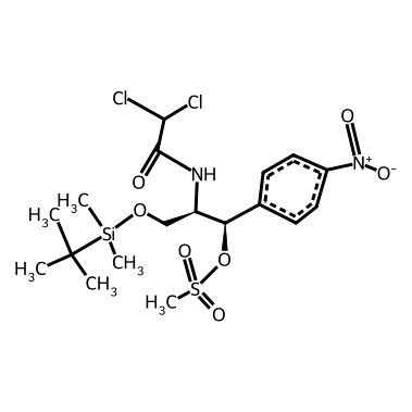 CC(C)(C)[Si](C)(C)OC[C@@H](NC(=O)C(Cl)Cl)[C@H](OS(C)(=O)=O)c1ccc([N+](=O)[O-])cc1